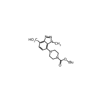 Cn1nnc2c(C(=O)O)ccc(N3CCN(C(=O)OC(C)(C)C)CC3)c21